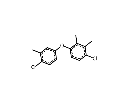 Cc1cc(Oc2ccc(Cl)c(C)c2C)ccc1Cl